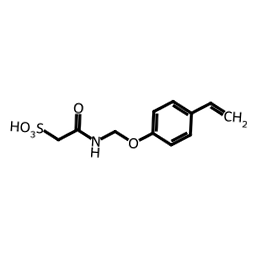 C=Cc1ccc(OCNC(=O)CS(=O)(=O)O)cc1